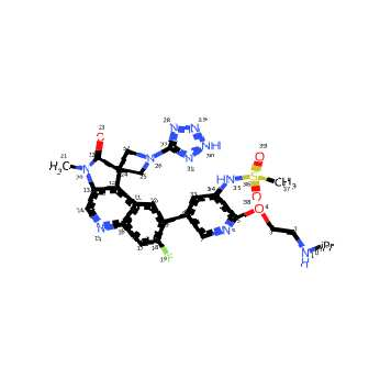 CC(C)NCCOc1ncc(-c2cc3c4c(cnc3cc2F)N(C)C(=O)C42CN(c3nn[nH]n3)C2)cc1NS(C)(=O)=O